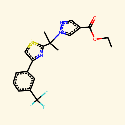 CCOC(=O)c1cnn(C(C)(C)c2nc(-c3cccc(C(F)(F)F)c3)cs2)c1